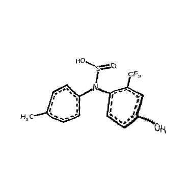 Cc1ccc(N(c2ccc(O)cc2C(F)(F)F)S(=O)O)cc1